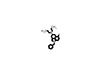 CCCN(CCC)[C@@H]1Cc2c(I)ccc3c2[C@@H](C1)CN3Cc1ccccc1